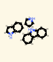 c1cc[nH]c1.c1ccc2[nH]ccc2c1.c1ccc2c(c1)[nH]c1ccccc12